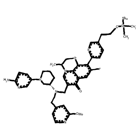 COc1cc(CN(Cc2cn3c4c(c(-c5ccc(CCO[Si](C)(C)C(C)(C)C)cn5)c(F)cc4c2=O)OCC3C)[C@H]2CCCN(c3ccc(N)nc3)C2)ccn1